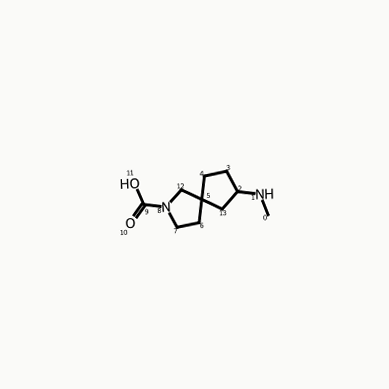 CNC1CCC2(CCN(C(=O)O)C2)C1